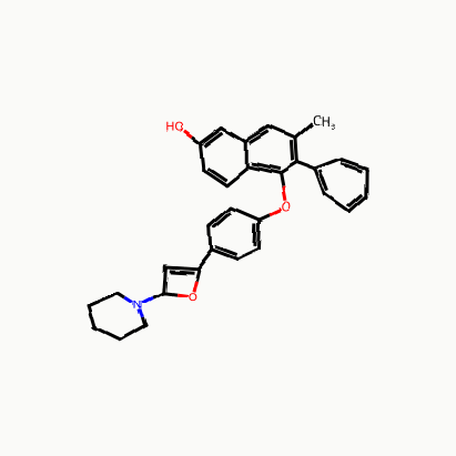 Cc1cc2cc(O)ccc2c(Oc2ccc(C3=CC(N4CCCCC4)O3)cc2)c1-c1ccccc1